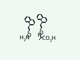 C/C(=N/OC/C=C/c1cccc2ccccc12)C(=O)O.NOC/C=C/c1cccc2ccccc12